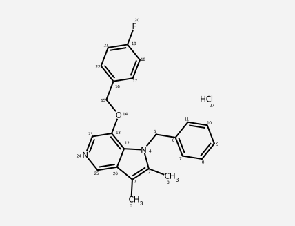 Cc1c(C)n(Cc2ccccc2)c2c(OCc3ccc(F)cc3)cncc12.Cl